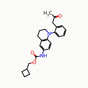 CC(=O)Cc1ccccc1N1CCCc2cc(NC(=O)OCC3CCC3)ccc21